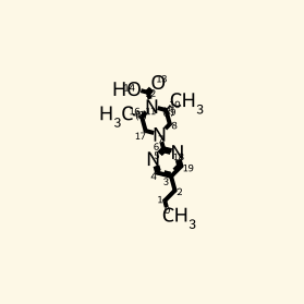 CCCc1cnc(N2C[C@@H](C)N(C(=O)O)[C@@H](C)C2)nc1